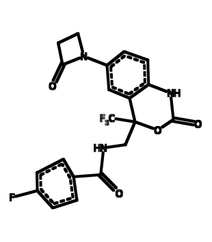 O=C1Nc2ccc(N3CCC3=O)cc2C(CNC(=O)c2ccc(F)cc2)(C(F)(F)F)O1